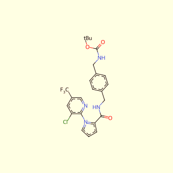 CC(C)(C)OC(=O)NCc1ccc(CNC(=O)c2cccn2-c2ncc(C(F)(F)F)cc2Cl)cc1